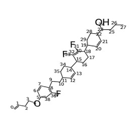 C=CCCOc1ccc(CCC2C=CC(C3CCC(C4C=CC(C(O)CCC)CC4)C(F)=C3F)CC2)c(F)c1